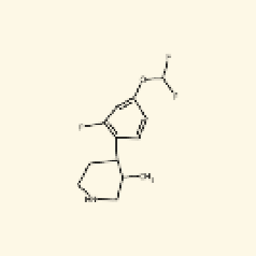 CC1CNCCC1c1ccc(OC(F)F)cc1F